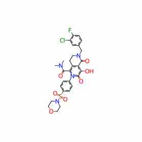 CN(C)C(=O)c1c2c(c(O)c(=O)n1-c1ccc(S(=O)(=O)N3CCOCC3)cc1)C(=O)N(Cc1ccc(F)c(Cl)c1)CC2